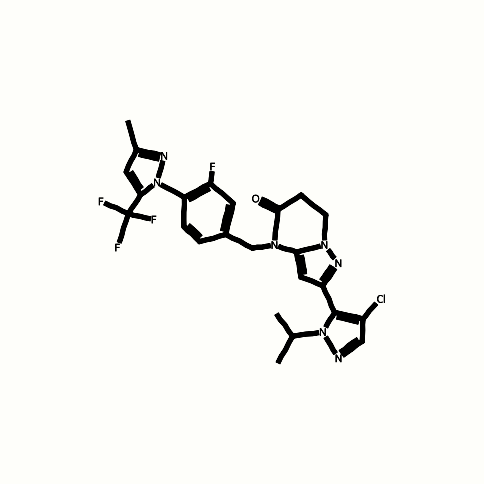 Cc1cc(C(F)(F)F)n(-c2ccc(CN3C(=O)CCn4nc(-c5c(Cl)cnn5C(C)C)cc43)cc2F)n1